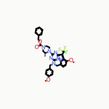 COc1ccc(CN(Cc2ccc(OC)cc2)c2nc(N3CCN(C(=O)OCc4ccccc4)C[C@@H]3C)nc3c(C(F)(F)F)cnn23)cc1